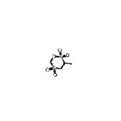 CC1CS(=O)(=O)COS1(=O)=O